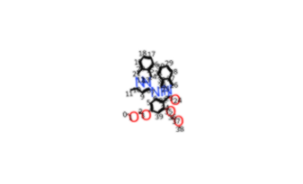 COCOc1cc(Nc2cc(C)nn2Cc2ccccc2C)c(C(=O)n2cc3ccccc3c2)c(OCOC)c1